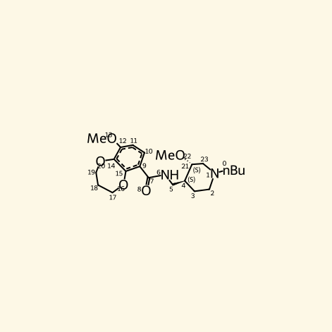 CCCCN1CC[C@@H](CNC(=O)c2ccc(OC)c3c2OCCCO3)[C@H](OC)C1